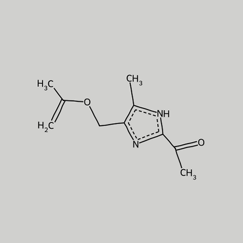 C=C(C)OCc1nc(C(C)=O)[nH]c1C